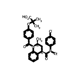 CCN(C(=O)[C@@H]1C[C@H](C)N(C(=O)c2ccc(OC(C)(C)C(=O)O)cc2)c2ccccc21)c1ccc(Cl)cc1